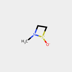 CN1CC[S+]1[O-]